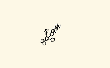 COC(=O)c1cc(C#C[Si](C)(C)C)c(-c2ccc3nc(-c4sc(C)nc4C)ccc3c2)c(C2CCCCC2)c1